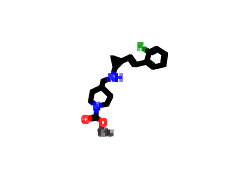 CC(C)(C)OC(=O)N1CCC(CNC2CC2C=Cc2ccccc2F)CC1